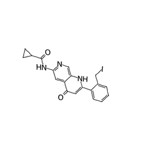 O=C(Nc1cc2c(=O)cc(-c3ccccc3CI)[nH]c2cn1)C1CC1